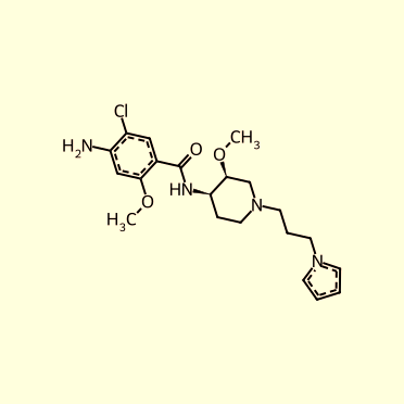 COc1cc(N)c(Cl)cc1C(=O)N[C@@H]1CCN(CCCn2cccc2)C[C@@H]1OC